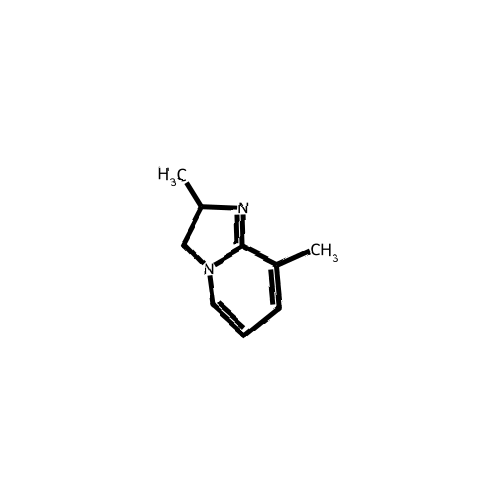 CC1=CC=CN2CC(C)N=C12